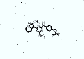 Cc1nn2ccccc2c1-c1nc(N)nc(Nc2ccc(OC(F)F)cc2)n1